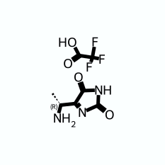 C[C@@H](N)C1=NC(=O)NC1=O.O=C(O)C(F)(F)F